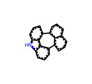 c1cc2c3c(cccc3c1)-c1cccc3[nH]c4cccc-2c4c13